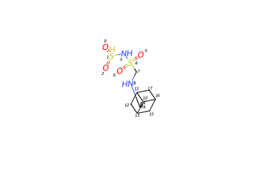 O=[SH](=O)NS(=O)(=O)CNC1=C2C3CC(C1)CC2C3